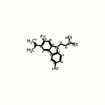 C=C(C)c1cc2c3cc(C(C)=O)ccc3n(CCN(CC)CC)c2cc1F